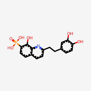 O=P(O)(O)c1ccc2ccc(CCc3ccc(O)c(O)c3)nc2c1O